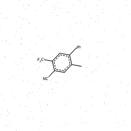 Cc1cc(C#N)c(C(F)(F)F)cc1C(C)C